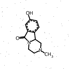 CN1CCN2C(=O)c3cc(O)ccc3C2C1